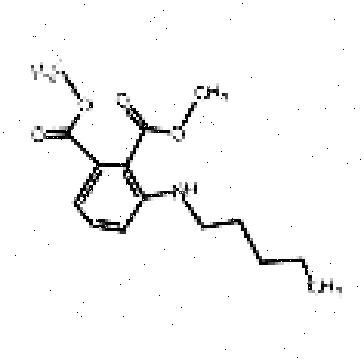 CCCCCNc1cccc(C(=O)OC)c1C(=O)OC